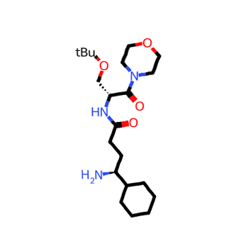 CC(C)(C)OC[C@@H](NC(=O)CC[C@H](N)C1CCCCC1)C(=O)N1CCOCC1